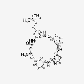 CN(C)CCCCC1NC(=O)CN(C)Cc2cccc(c2)Nc2cc(ncn2)Nc2cccc(c2)CNC1=O